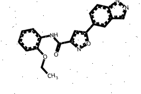 CCOc1ccccc1NC(=O)c1cc(-c2ccc3[nH]ncc3c2)on1